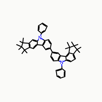 CC1(C)c2cc3c4cc(-c5ccc6c(c5)c5c7c(ccc5n6-c5ccccc5)C(C)(C)C(C)(C)C7(C)C)ccc4n(-c4ccccc4)c3cc2C(C)(C)C1(C)C